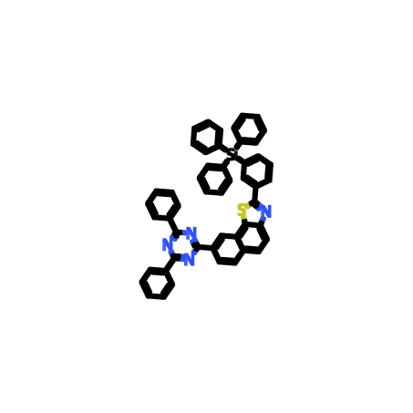 c1ccc(-c2nc(-c3ccccc3)nc(-c3ccc4ccc5nc(-c6cccc([Si](c7ccccc7)(c7ccccc7)c7ccccc7)c6)sc5c4c3)n2)cc1